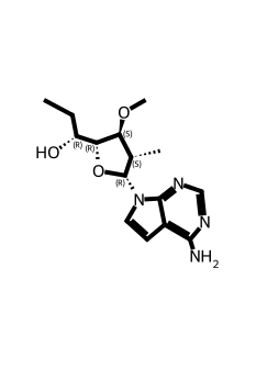 CC[C@@H](O)[C@H]1O[C@@H](n2ccc3c(N)ncnc32)[C@@H](C)[C@@H]1OC